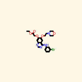 CCOC(=O)COc1cc2ncnc(Nc3cccc(Br)c3)c2cc1OCCN1CCOCC1